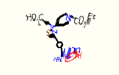 CCOC(=O)CN1CCC(N(CCC(=O)O)c2nc(-c3ccc(C(=N)NO)cc3)cs2)CC1